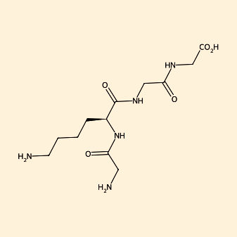 NCCCC[C@H](NC(=O)CN)C(=O)NCC(=O)NCC(=O)O